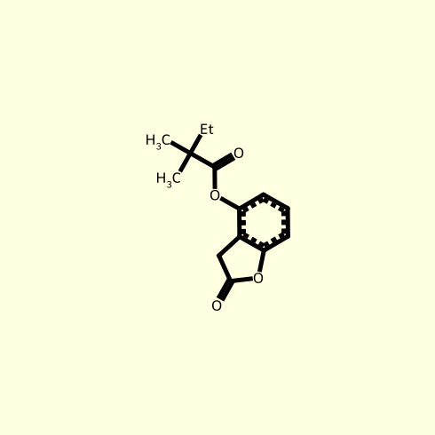 CCC(C)(C)C(=O)Oc1cccc2c1CC(=O)O2